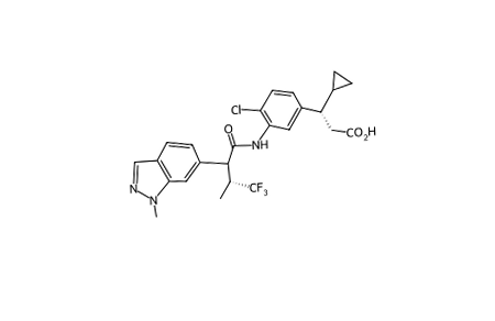 C[C@H](C(C(=O)Nc1cc([C@@H](CC(=O)O)C2CC2)ccc1Cl)c1ccc2cnn(C)c2c1)C(F)(F)F